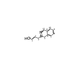 OC=CCN1Cc2ccccc2C=N1